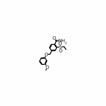 CCS(=O)(=O)c1cc(COc2cccc(OC)c2)ccc1C(N)=O